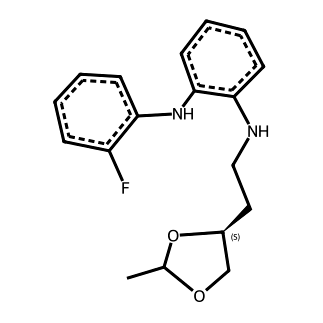 CC1OC[C@H](CCNc2ccccc2Nc2ccccc2F)O1